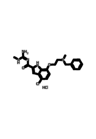 CNC(N)=NC(=O)c1cc2c(Cl)ccc(OCCN(C)Cc3ccccc3)c2[nH]1.Cl